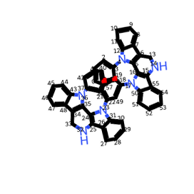 c1ccc(-n2c3c(c4ccccc42)CNc2c-3n(-c3cccc(-n4c5c(c6ccccc64)NCc4c-5n(-c5ccccc5)c5ccccc45)c3)c3ccccc23)cc1